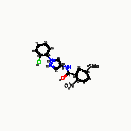 CSc1ccc([N+](=O)[O-])c(C(=O)Nc2cnn(-c3ccccc3Cl)c2)c1